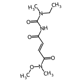 CCN(C)C(=O)NC(=O)/C=C/C(=O)N(C)OC